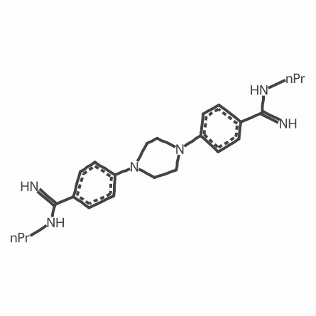 CCCNC(=N)c1ccc(N2CCN(c3ccc(C(=N)NCCC)cc3)CC2)cc1